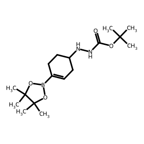 CC(C)(C)OC(=O)NNC1CC=C(B2OC(C)(C)C(C)(C)O2)CC1